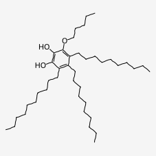 CCCCCCCCCCc1c(O)c(O)c(OCCCCC)c(CCCCCCCCCC)c1CCCCCCCCCC